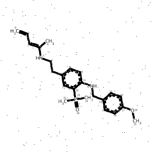 C=C/C=C(\C)NCCc1ccc(NCc2ccc(OC)cc2)c(P(C)(C)=O)c1